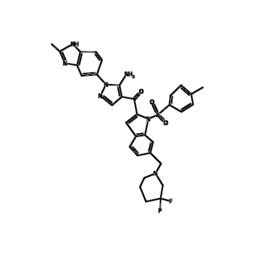 Cc1ccc(S(=O)(=O)n2c(C(=O)c3cnn(-c4ccc5[nH]c(C)nc5c4)c3N)cc3ccc(CN4CCCC(F)(F)C4)cc32)cc1